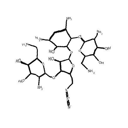 [N-]=[N+]=NCC1OC(OC2C(O)C(N)CC(N)C2OC2OC(CN)C(O)C(O)C2N)C(O)C1OC1OC(CN)C(O)C(O)C1N